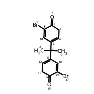 CC(C)(C1=CCC(=O)C(Br)=C1)C1=CCC(=O)C(Br)=C1